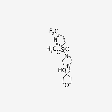 Cc1nc(C(F)(F)F)ccc1S(=O)(=O)N1CCN(CC2(O)CCOCC2)CC1